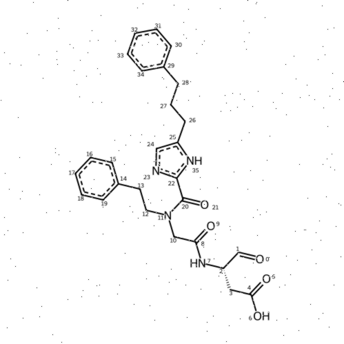 O=C[C@H](CC(=O)O)NC(=O)CN(CCc1ccccc1)C(=O)c1ncc(CCCc2ccccc2)[nH]1